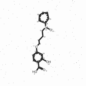 O=C(O)c1ccc(OCCCC[S+]([O-])c2ccccc2)cc1O